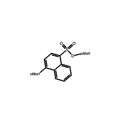 CCCCCCCCCOS(=O)(=O)c1ccc(CCCCCCCCC)c2ccccc12